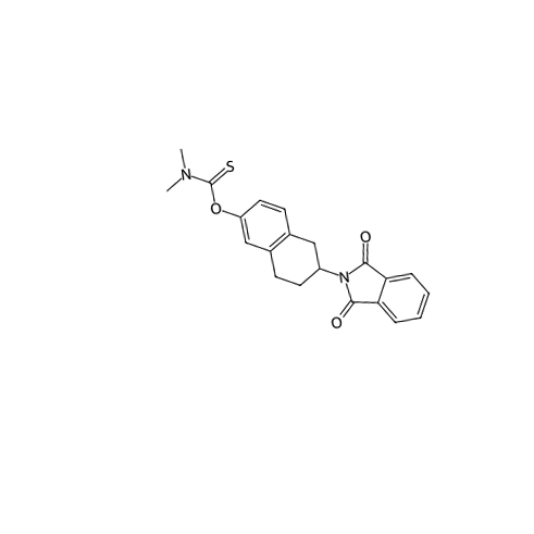 CN(C)C(=S)Oc1ccc2c(c1)CCC(N1C(=O)c3ccccc3C1=O)C2